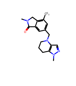 CN1Cc2c(cc(CN3CCCc4c3cnn4C)cc2C(F)(F)F)C1=O